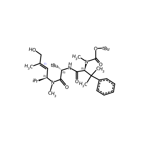 C/C(=C\[C@H](C(C)C)N(C)C(=O)[C@@H](NC(=O)[C@@H](N(C)C(=O)OC(C)(C)C)C(C)(C)c1ccccc1)C(C)(C)C)CO